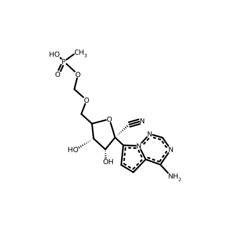 CP(=O)(O)OCOCC1O[C@@](C#N)(c2ccc3c(N)ncnn23)[C@H](O)[C@@H]1O